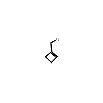 CC[CH]C1=CCC1